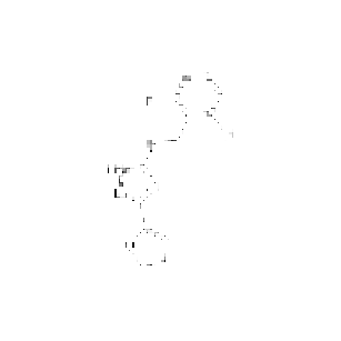 Fc1cccc(Cl)c1CNc1nc(C2=CCCO2)n[nH]1